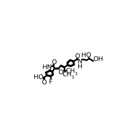 CC1(C)O/C(=C2/C(=O)Nc3cc(C(=O)O)c(F)cc32)C=C1c1ccc(C(=O)NCCC(O)CO)cc1